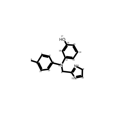 Cc1ccc(N(CC2=NCC=N2)c2cccc(O)c2)cc1